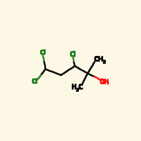 CC(C)(O)C(Cl)CC(Cl)Cl